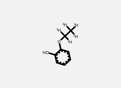 [2H]C([2H])([2H])C([2H])([2H])Oc1ccccc1O